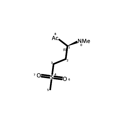 CN[C@@H](CCS(C)(=O)=O)C(C)=O